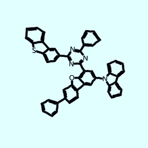 c1ccc(-c2ccc3c(c2)oc2c(-c4nc(-c5ccccc5)nc(-c5ccc6sc7ccccc7c6c5)n4)cc(-n4c5ccccc5c5ccccc54)cc23)cc1